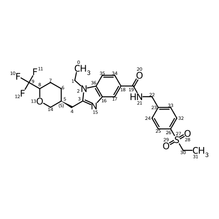 CCn1c(C[C@@H]2CCC(C(F)(F)F)OC2)nc2cc(C(=O)NCc3ccc(S(=O)(=O)CC)cc3)ccc21